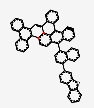 c1ccc2c(-c3ccc(-c4ccc5c(c4)oc4ccccc45)c4ccccc34)c3ccccc3c(-c3ccccc3C3=Cc4c(c5ccccc5c5ccccc45)CC3)c2c#1